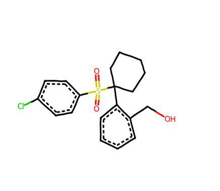 O=S(=O)(c1ccc(Cl)cc1)C1(c2ccccc2CO)CCCCC1